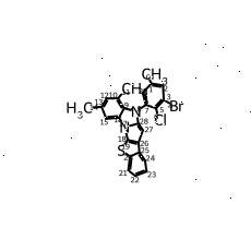 Cc1cc(Br)c(Cl)c(-n2c3c(C)cc(C)cc3n3c4sc5ccccc5c4cc23)c1